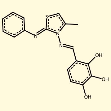 Cc1cs/c(=N\c2ccccc2)n1/N=C/c1ccc(O)c(O)c1O